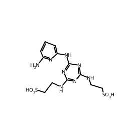 Nc1cccc(Nc2nc(NCCS(=O)(=O)O)nc(NCCS(=O)(=O)O)n2)n1